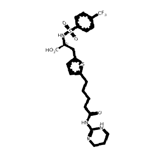 O=C(CCCCc1ccc(C[C@H](NS(=O)(=O)c2ccc(C(F)(F)F)cc2)C(=O)O)s1)NC1=NCCCN1